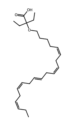 CC/C=C\C/C=C\CC=CC/C=C\C/C=C\CCCCOC(CC)(CC)C(=O)O